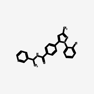 O=C(NC(c1cccnc1)C(F)(F)F)c1ccc(-c2cc(C(F)(F)F)nn2-c2ccccc2Cl)cc1